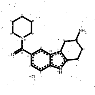 Cl.NC1CCc2[nH]c3ccc(C(=O)N4CCCCC4)cc3c2C1